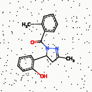 CC1=NN(C(=O)c2ccccc2C)C(c2ccccc2O)C1